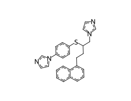 c1ccc2c(CCC(Cn3ccnc3)Sc3ccc(-n4ccnc4)cc3)cccc2c1